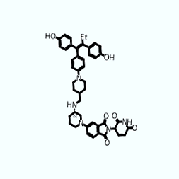 CCC(=C(c1ccc(O)cc1)c1ccc(N2CCC(CN[C@H]3CCCN(c4ccc5c(c4)C(=O)N(C4CCC(=O)NC4=O)C5=O)C3)CC2)cc1)c1ccc(O)cc1